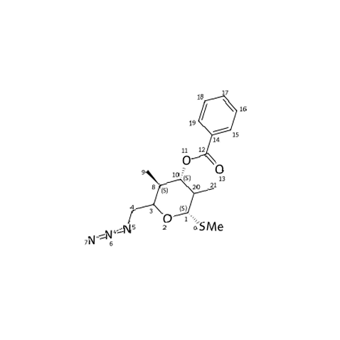 CS[C@@H]1OC(CN=[N+]=[N-])[C@@H](C)[C@H](OC(=O)c2ccccc2)C1C